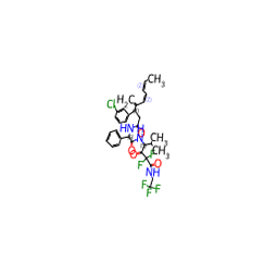 C=C(/C=C\C=C/C)[C@@H](CC(=O)N[C@H](C(=O)N[C@H](C(=O)C(F)(F)C(=O)NCC(F)(F)F)C(C)C)c1ccccc1)c1cccc(Cl)c1